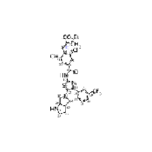 CCOC(=O)/C(C)=C/c1c(Cl)cc(C(=O)Nc2nc(-c3cccc(C(F)(F)F)c3)c(N3CC4CCNC4C3)s2)cc1Cl